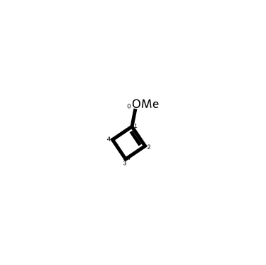 COC1=C[CH]C1